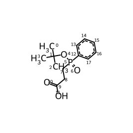 CC(C)(C)OP(=O)(CCC(=O)O)c1ccccc1